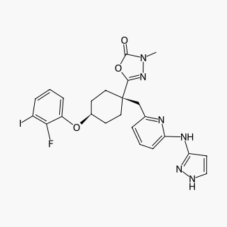 Cn1nc([C@]2(Cc3cccc(Nc4cc[nH]n4)n3)CC[C@@H](Oc3cccc(I)c3F)CC2)oc1=O